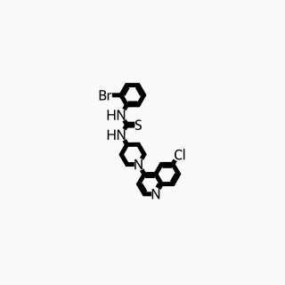 S=C(Nc1ccccc1Br)NC1CCN(c2ccnc3ccc(Cl)cc23)CC1